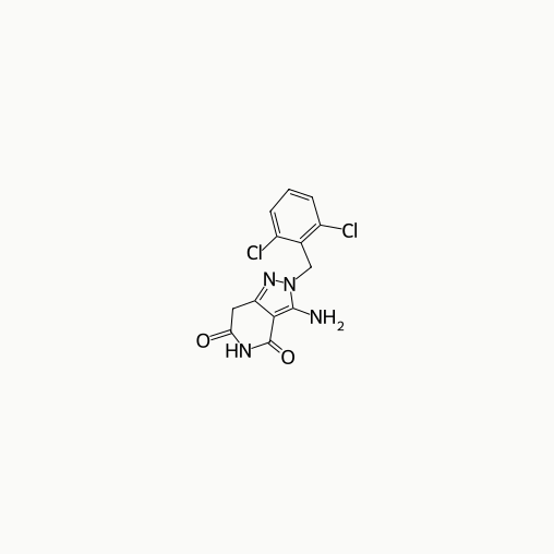 Nc1c2c(nn1Cc1c(Cl)cccc1Cl)CC(=O)NC2=O